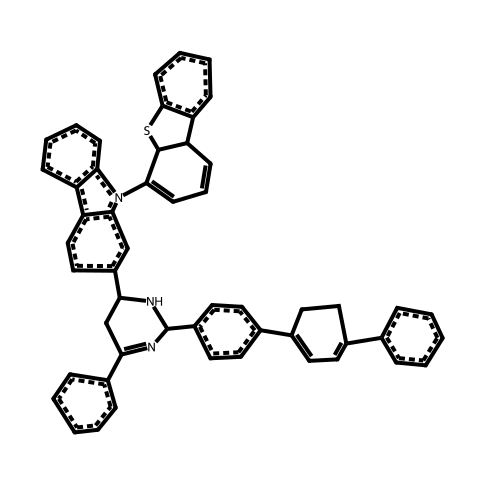 C1=CC2c3ccccc3SC2C(n2c3ccccc3c3ccc(C4CC(c5ccccc5)=NC(c5ccc(C6=CC=C(c7ccccc7)CC6)cc5)N4)cc32)=C1